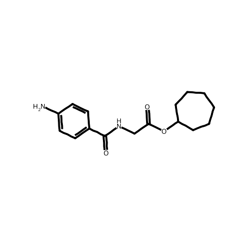 Nc1ccc(C(=O)NCC(=O)OC2CCCCCC2)cc1